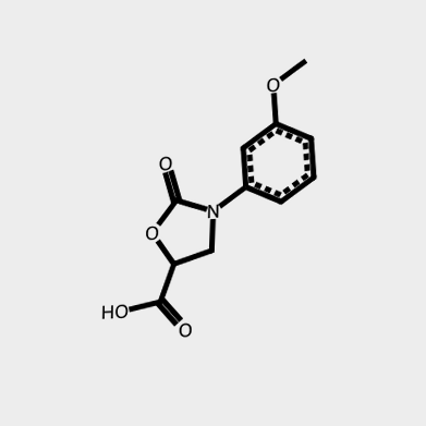 COc1cccc(N2CC(C(=O)O)OC2=O)c1